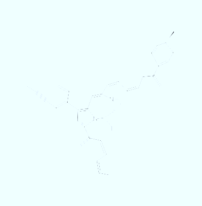 C=C/C(=C\C#CC)c1cc(C(=C)/C=C\C=C/C)n(B(F)F)c1/C=C(N)/C=C\C=C/CC(=C)C1=CC[C@H](C)C=C1